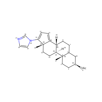 CC(=O)O[C@H]1CC[C@@]2(C)C(CC[C@H]3C4=CC=C(n5ccnc5)[C@@]4(C)CC[C@@H]32)C1